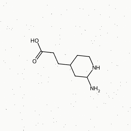 NC1CC(CCC(=O)O)CCN1